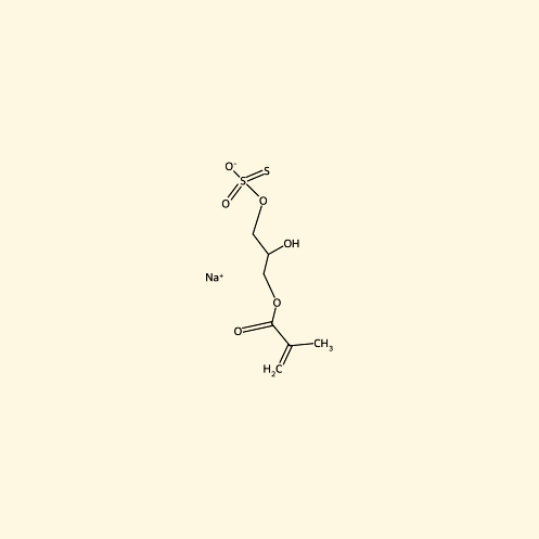 C=C(C)C(=O)OCC(O)COS(=O)([O-])=S.[Na+]